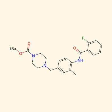 Cc1cc(CN2CCN(C(=O)OC(C)(C)C)CC2)ccc1NC(=O)c1ccccc1F